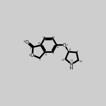 O=C1OCc2cc(O[C@H]3CCNC3)ccc21